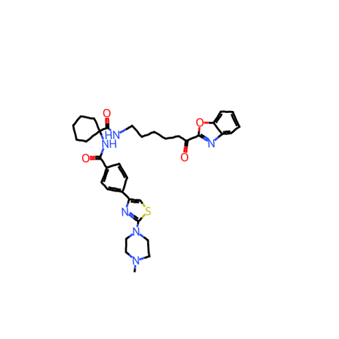 CN1CCN(c2nc(-c3ccc(C(=O)NC4(C(=O)NCCCCCC(=O)c5nc6ccccc6o5)CCCCC4)cc3)cs2)CC1